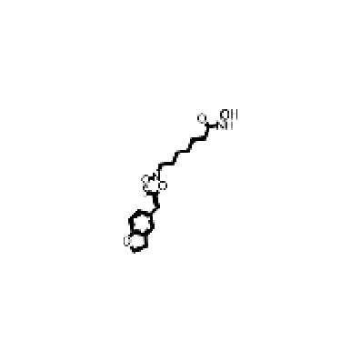 O=C(CCCCCCN1OS/C(=C\c2ccc3c(c2)CCO3)O1)NO